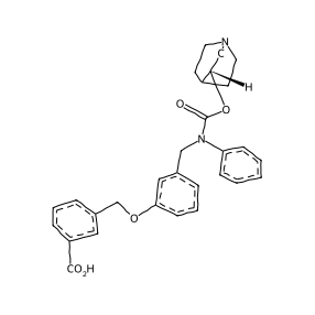 O=C(O)c1cccc(COc2cccc(CN(C(=O)O[C@H]3CN4CCC3CC4)c3ccccc3)c2)c1